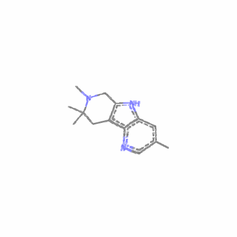 Cc1cnc2c3c([nH]c2c1)CN(C)C(C)(C)C3